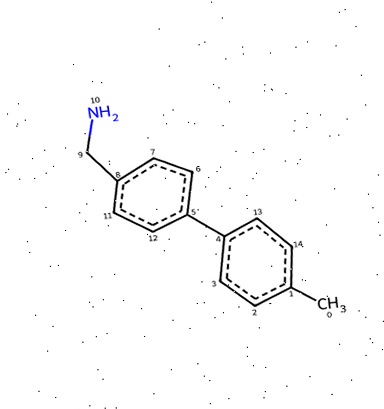 Cc1ccc(-c2ccc(CN)cc2)cc1